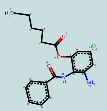 CCCCCC(=O)Oc1cccc(N)c1NC(=O)c1ccccc1.Cl